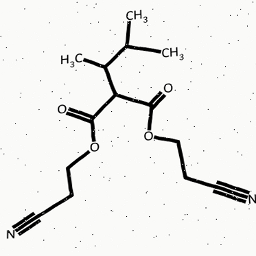 CC(C)C(C)C(C(=O)OCCC#N)C(=O)OCCC#N